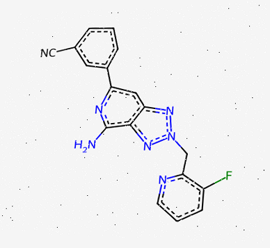 N#Cc1cccc(-c2cc3nn(Cc4ncccc4F)nc3c(N)n2)c1